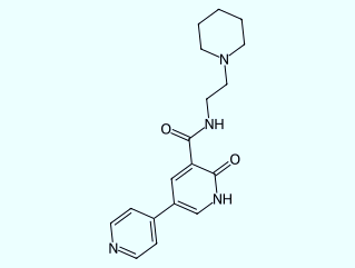 O=C(NCCN1CCCCC1)c1cc(-c2ccncc2)c[nH]c1=O